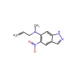 C=CCN(C)c1cc2[nH]ncc2cc1[N+](=O)[O-]